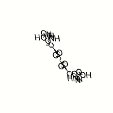 Cc1cc(C#CS(=O)(=O)C(C)(C)CCC(C)(C)S(=O)(=O)C#Cc2ccc(Oc3[nH]nnc3C(=O)O)c(C)c2)cc(Oc2[nH]nnc2C(=O)O)c1